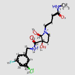 CNC(=O)CCCN1CCC(O)(C(=O)NCc2cc(F)cc(Cl)c2)C1=O